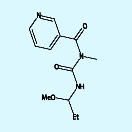 CCC(NC(=O)N(C)C(=O)c1cccnc1)OC